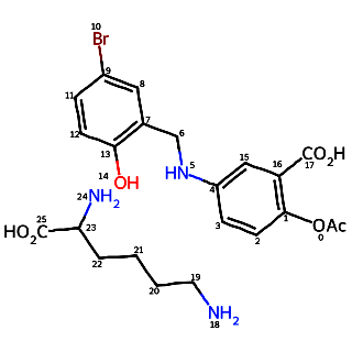 CC(=O)Oc1ccc(NCc2cc(Br)ccc2O)cc1C(=O)O.NCCCCC(N)C(=O)O